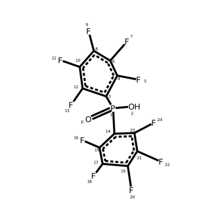 O=P(O)(c1c(F)c(F)c(F)c(F)c1F)c1c(F)c(F)c(F)c(F)c1F